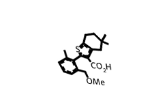 COCc1cccc(C)c1-c1sc2c(c1C(=O)O)CC(C)(C)CC2